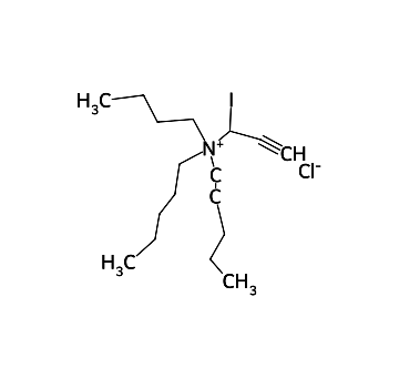 C#CC(I)[N+](CCCC)(CCCCC)CCCCC.[Cl-]